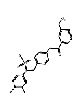 CCS(=O)(=O)N(Cc1ccc(NC(=O)c2cccc(OC(F)(F)F)c2)cc1)c1ccc(C)c(C)c1